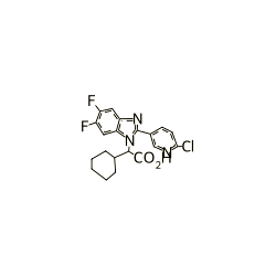 O=C(O)C(C1CCCCC1)n1c(-c2ccc(Cl)nc2)nc2cc(F)c(F)cc21